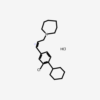 Cl.Clc1cc(/C=C\CN2CCCCCC2)ccc1C1CCCCC1